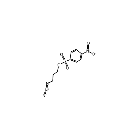 [N-]=[N+]=NCCCOS(=O)(=O)c1ccc([N+](=O)[O-])cc1